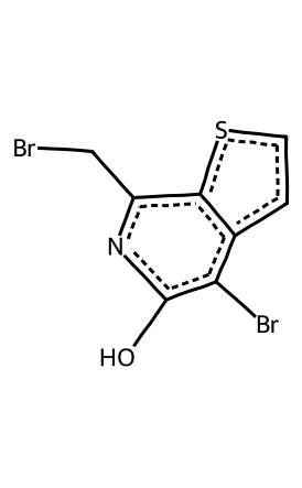 Oc1nc(CBr)c2sccc2c1Br